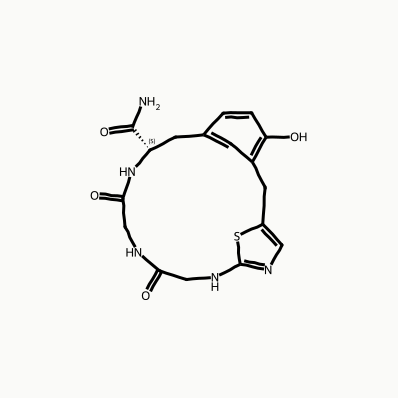 NC(=O)[C@@H]1Cc2ccc(O)c(c2)Cc2cnc(s2)NCC(=O)NCC(=O)N1